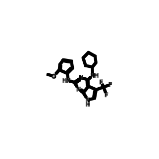 COc1c[c]ccc1Nc1nc(NC2CCCCC2)c2c(C(F)(F)F)c[nH]c2n1